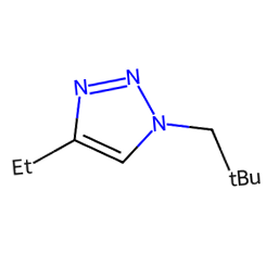 CCc1cn(CC(C)(C)C)nn1